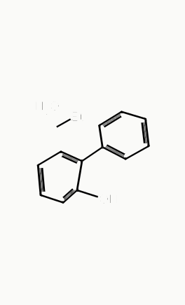 CCC.O.Oc1ccccc1-c1ccccc1